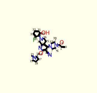 C=CC(=O)N1[C@H](C)CN(c2c(C#N)c(OC[C@@H]3CCCN3C)nc3c2CCN(c2c(O)cccc2F)C3)C[C@@H]1C